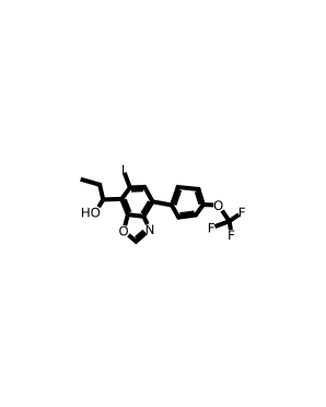 CCC(O)c1c(I)cc(-c2ccc(OC(F)(F)F)cc2)c2ncoc12